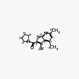 Cc1cc(C)c2c(Br)c(C(=O)N3CCCC3)sc2n1